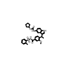 COc1cc(C(=O)NS(=O)(=O)c2ccccc2C)ccc1C(C)c1c[nH]c2ccc(NC(=O)OC3CCCC3)cc12